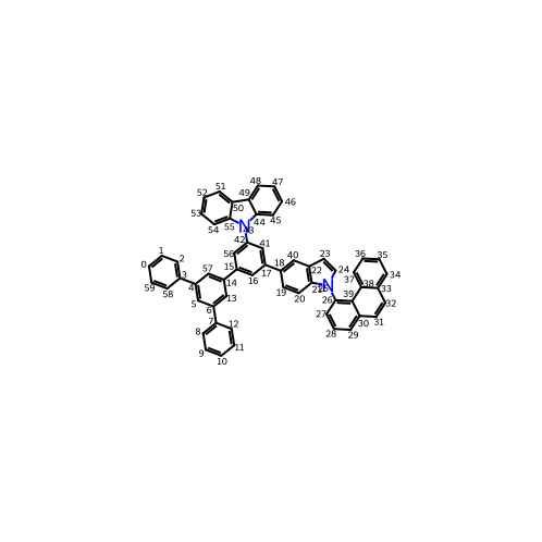 c1ccc(-c2cc(-c3ccccc3)cc(-c3cc(-c4ccc5c(ccn5-c5cccc6ccc7ccccc7c56)c4)cc(-n4c5ccccc5c5ccccc54)c3)c2)cc1